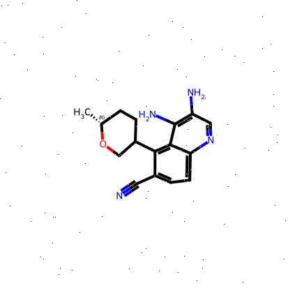 C[C@@H]1CCC(c2c(C#N)ccc3ncc(N)c(N)c23)CO1